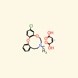 CN1CCOc2cc(Cl)ccc2Oc2ccccc2CC1.O=C(O)/C=C\C(=O)O